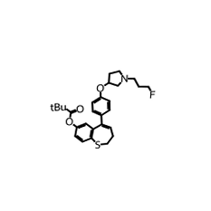 CC(C)(C)C(=O)Oc1ccc2c(c1)C(c1ccc(OC3CCN(CCCF)C3)cc1)=CCCS2